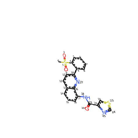 CS(=O)(=O)c1ccccc1-c1ccc2cccc(NC(=O)c3cscn3)c2n1